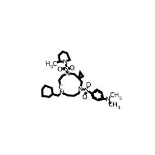 CC1CCCCN1S(=O)(=O)N1CCCN(CC2CCCCC2)CCCN(S(=O)(=O)c2ccc(N(C)C)cc2)CC2(CC2)C1